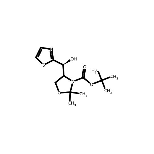 CC(C)(C)OC(=O)N1C([C@H](O)c2nccs2)COC1(C)C